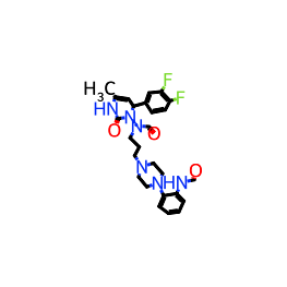 CC1=CC(c2ccc(F)c(F)c2)N(N(C=O)CCCN2CCN(c3ccccc3NC=O)CC2)C(=O)N1